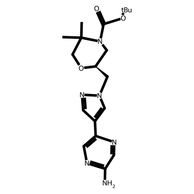 CC(C)(C)OC(=O)N1C[C@@H](Cn2cc(-c3cnc(N)cn3)cn2)OCC1(C)C